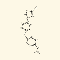 COc1ccc(Cc2ccc(-c3ccc(Cl)s3)cc2)cc1